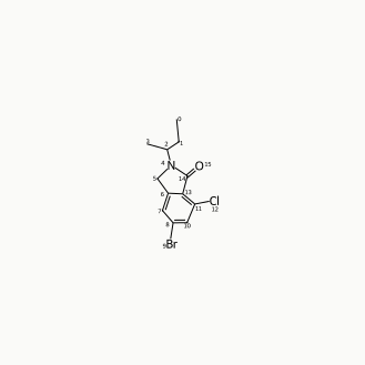 CCC(C)N1Cc2cc(Br)cc(Cl)c2C1=O